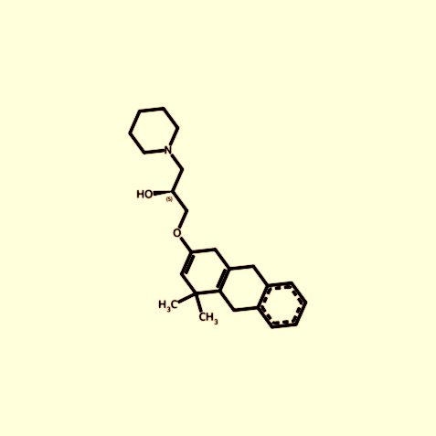 CC1(C)C=C(OC[C@@H](O)CN2CCCCC2)CC2=C1Cc1ccccc1C2